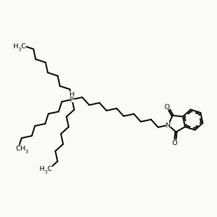 CCCCCCCC[PH](CCCCCCCC)(CCCCCCCC)CCCCCCCCCCN1C(=O)c2ccccc2C1=O